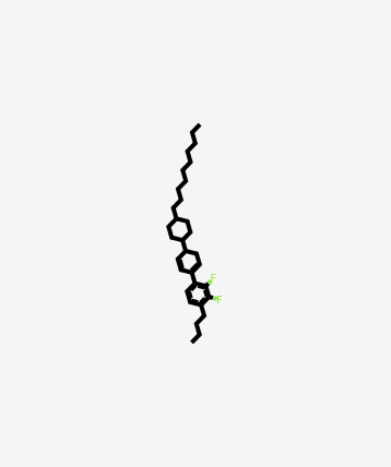 CCCCCCCCCCC1CCC(C2C=CC(c3ccc(CCCC)c(F)c3F)=CC2)CC1